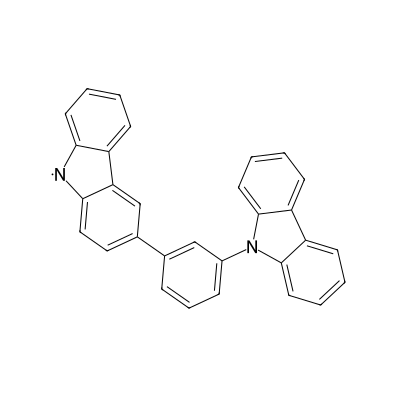 c1cc(-c2ccc3c(c2)-c2ccccc2[N]3)cc(-n2c3ccccc3c3ccccc32)c1